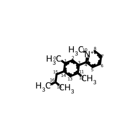 Cc1cc(-c2cccc[n+]2C)c(C)cc1CC(C)C